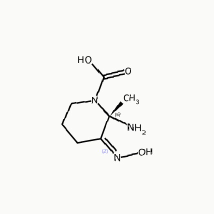 C[C@@]1(N)/C(=N\O)CCCN1C(=O)O